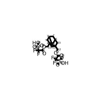 O=C(OCC12CC3CC(C1)CC(COC(=O)C(F)(F)S(=O)(=O)O)(C3)C2)C(F)(F)S(=O)(=O)O